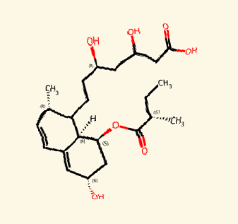 CC[C@H](C)C(=O)O[C@H]1C[C@H](O)C=C2C=C[C@H](C)C(CC[C@@H](O)CC(O)CC(=O)O)[C@H]21